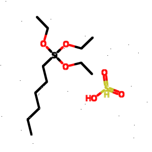 CCCCCC[Si](OCC)(OCC)OCC.O=[SH](=O)O